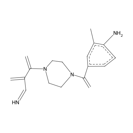 C=C(C=N)C(=C)N1CCN(C(=C)c2ccc(N)c(C)c2)CC1